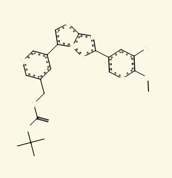 COc1ncc(-c2nn3c(-c4cncc(CNC(=O)OC(C)(C)C)c4)cnc3s2)cc1N